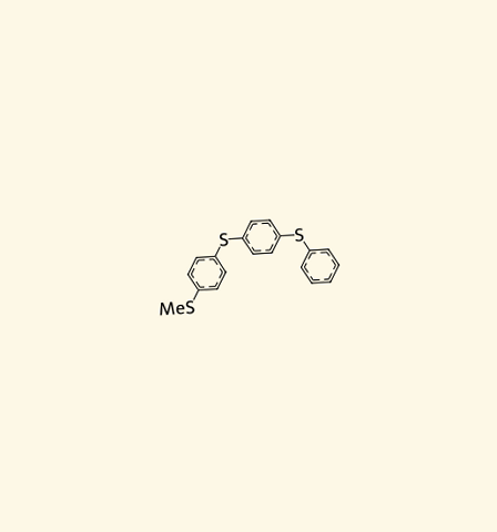 CSc1ccc(Sc2ccc(Sc3ccccc3)cc2)cc1